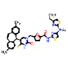 CC(=O)N(c1csc(NC(=O)c2ccc(Cn3cc(C4c5ccc(C)cc5C=Cc5cc(C)ccc54)c(=S)[nH]c3=O)o2)n1)c1nc(CC(=O)O)cs1